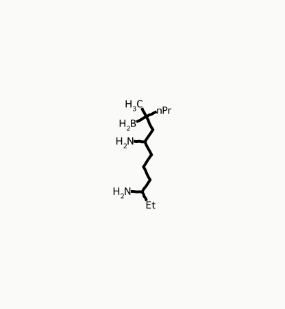 BC(C)(CCC)CC(N)CCCC(N)CC